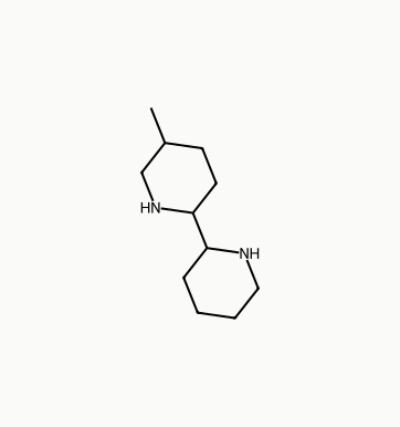 CC1CCC(C2CCCCN2)NC1